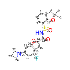 CC1(C)Cc2cccc([S+]([O-])NC(=O)c3cc4c(F)cc(N5CCC5)cc4o3)c2O1